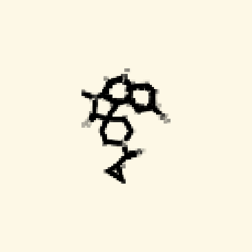 CN1C(=O)C2(CCN(C(=O)C3CC3)CC2)c2c1cnc1ccc(Br)cc21